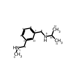 CNCc1cccc(CNC(C)C)c1